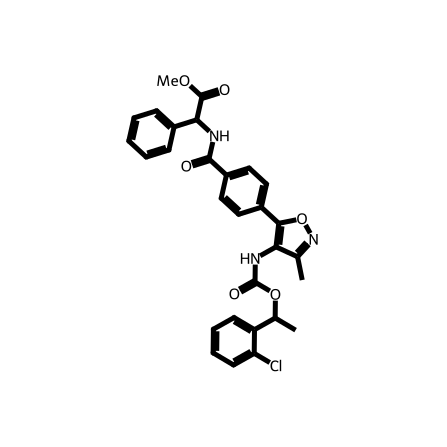 COC(=O)C(NC(=O)c1ccc(-c2onc(C)c2NC(=O)OC(C)c2ccccc2Cl)cc1)c1ccccc1